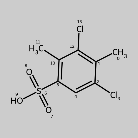 Cc1c(Cl)cc(S(=O)(=O)O)c(C)c1Cl